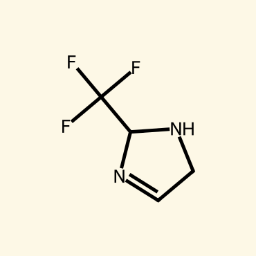 FC(F)(F)C1N=CCN1